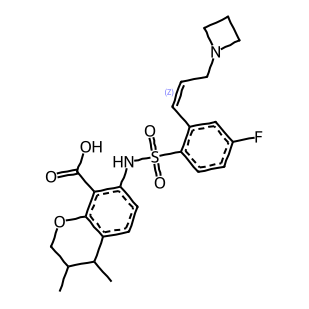 CC1COc2c(ccc(NS(=O)(=O)c3ccc(F)cc3/C=C\CN3CCC3)c2C(=O)O)C1C